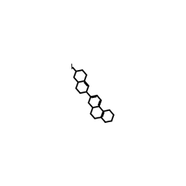 IC1CCC2=CC(C3=CC=C4C5=C(CCCC5)CCC4C3)CCC2C1